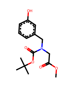 COC(=O)CN(Cc1cccc(O)c1)C(=O)OC(C)(C)C